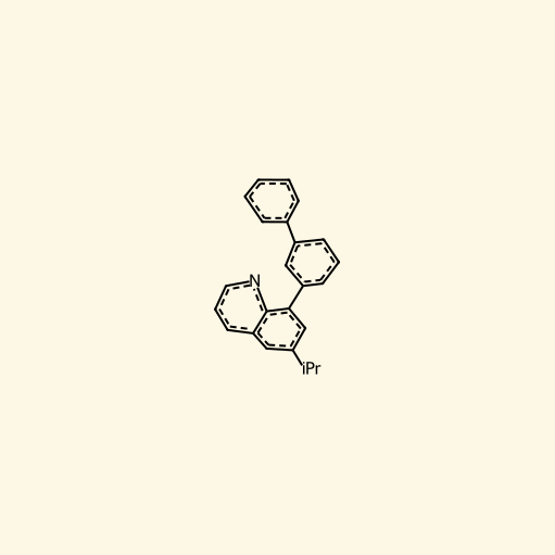 CC(C)c1cc(-c2cccc(-c3ccccc3)c2)c2ncccc2c1